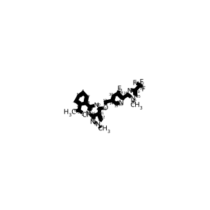 CC(C)c1ccccc1-c1nc(OCc2cnc(-c3nc(C(F)(F)F)cn3C)c(F)c2)c2cn(C)nc2n1